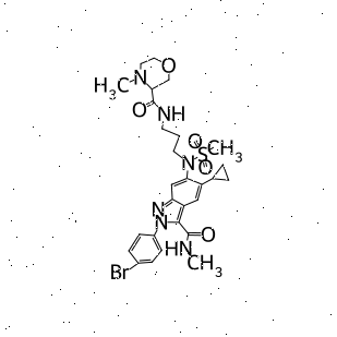 CNC(=O)c1c2cc(C3CC3)c(N(CCCNC(=O)C3COCCN3C)S(C)(=O)=O)cc2nn1-c1ccc(Br)cc1